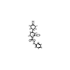 Cl.O=C(OCc1ccccc1)N1CCC(C2CCNCC2)CC1